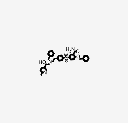 Cc1ccc([C@H](O)CN(CCc2ccc(S(=O)(=O)c3ccc(OCc4ccccc4)c(C(N)=O)c3)cc2)Cc2ccccc2)cn1